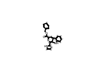 O=C(OCc1ccccc1)c1cc2c([nH]c3ccccc32)c(-c2ncc[nH]2)n1